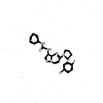 O=C(Nc1ccccc1)NC1C=NN2C=CC(N3CCC[C@@H]3c3cc(F)ccc3F)=NC12